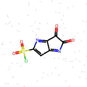 O=c1nc2cc(S(=O)(=O)Cl)nc-2c1=O